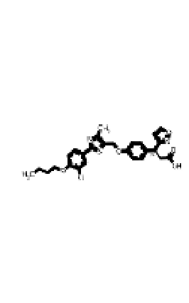 CCCCOc1ccc(-c2nc(C)c(COc3ccc([C@H](CC(=O)O)c4ccon4)cc3)s2)cc1Cl